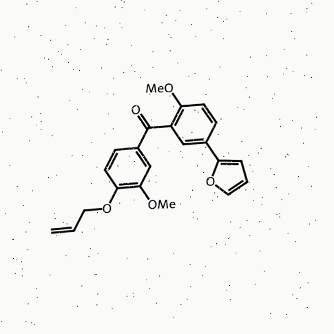 C=CCOc1ccc(C(=O)c2cc(-c3ccco3)ccc2OC)cc1OC